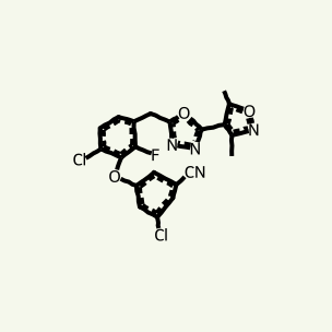 Cc1noc(C)c1-c1nnc(Cc2ccc(Cl)c(Oc3cc(Cl)cc(C#N)c3)c2F)o1